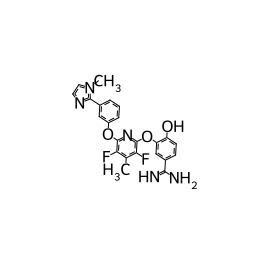 Cc1c(F)c(Oc2cccc(-c3nccn3C)c2)nc(Oc2cc(C(=N)N)ccc2O)c1F